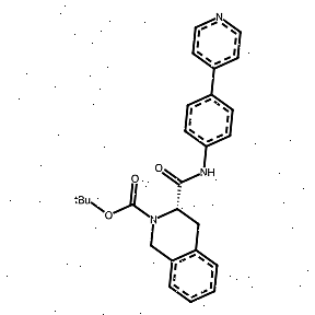 CC(C)(C)OC(=O)N1Cc2ccccc2C[C@H]1C(=O)Nc1ccc(-c2ccncc2)cc1